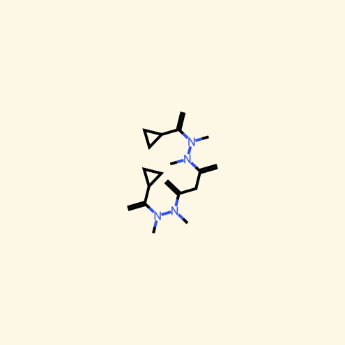 C=C(CC(=C)N(C)N(C)C(=C)C1CC1)N(C)N(C)C(=C)C1CC1